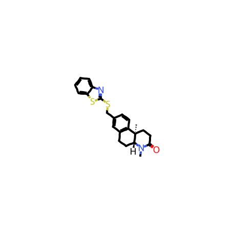 CN1C(=O)CC[C@]2(C)c3ccc(CSc4nc5ccccc5s4)cc3CC[C@@H]12